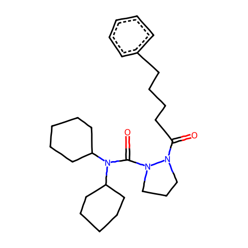 O=C(CCCCc1ccccc1)N1CCCN1C(=O)N(C1CCCCC1)C1CCCCC1